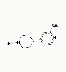 CC(C)N1CCN(c2ccnc(C(C)(C)C)c2)CC1